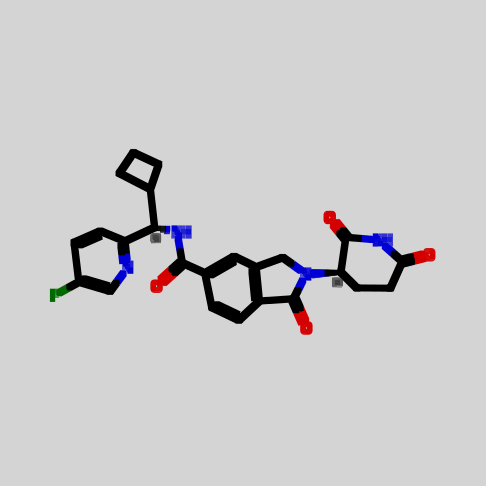 O=C1CC[C@@H](N2Cc3cc(C(=O)N[C@H](c4ccc(F)cn4)C4CCC4)ccc3C2=O)C(=O)N1